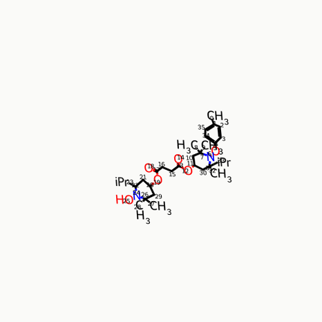 Cc1ccc(ON2C(C)(C)CC(OC(=O)CCC(=O)OC3CC(C(C)C)N(O)C(C)(C)C3)CC2(C)C(C)C)cc1